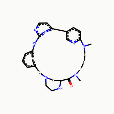 CN1CCCN(C)c2ccc(cn2)-c2ccnc(n2)Nc2cccc(c2)CN2CCNC(C2)C1=O